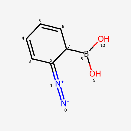 [N-]=[N+]=C1C=CC=CC1B(O)O